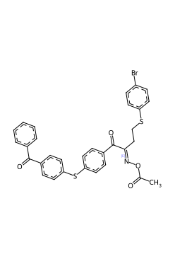 CC(=O)O/N=C(\CCSc1ccc(Br)cc1)C(=O)c1ccc(Sc2ccc(C(=O)c3ccccc3)cc2)cc1